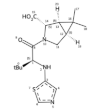 CC(C)(C)[C@H](Nc1cncs1)C(=O)N1C[C@H]2[C@@H]([C@H]1C(=O)O)C2(C)C